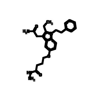 CCc1c(CC(N)=O)c2cc(OCCCC(=O)NN)ccc2n1CCc1ccccc1